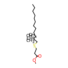 C.C.C.C.CCCCCCCCCCCCSCCC(=O)OC